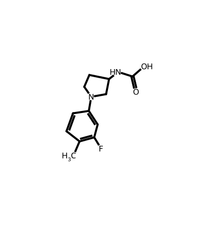 Cc1ccc(N2CCC(NC(=O)O)C2)cc1F